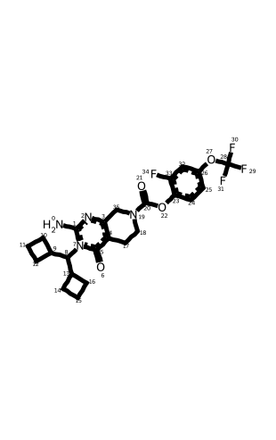 Nc1nc2c(c(=O)n1C(C1CCC1)C1CCC1)CCN(C(=O)Oc1ccc(OC(F)(F)F)cc1F)C2